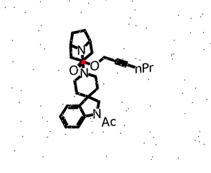 CCCC#CCOC(=O)N1C2CCC1CC(N1CCC3(CC1)CN(C(C)=O)c1ccccc13)C2